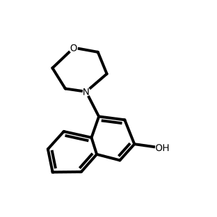 Oc1cc(N2CCOCC2)c2ccccc2c1